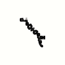 C#CCOC[C@H](O)COc1ccc(C(C)(C)c2ccc(OC[C@@H](C)CCl)cc2)cc1